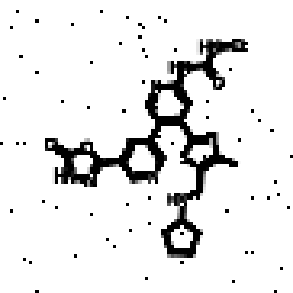 CCNC(=O)Nc1cc(-c2nc(C)c(CNC3CCCC3)s2)c(-c2cncc(-c3n[nH]c(=O)o3)c2)cn1